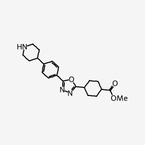 COC(=O)C1CCC(c2nnc(-c3ccc(C4CCNCC4)cc3)o2)CC1